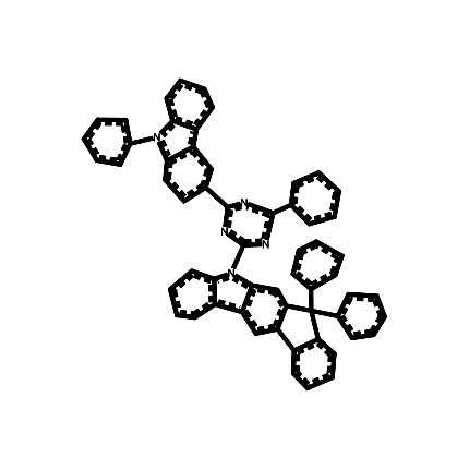 c1ccc(-c2nc(-c3ccc4c(c3)c3ccccc3n4-c3ccccc3)nc(-n3c4ccccc4c4cc5c(cc43)C(c3ccccc3)(c3ccccc3)c3ccccc3-5)n2)cc1